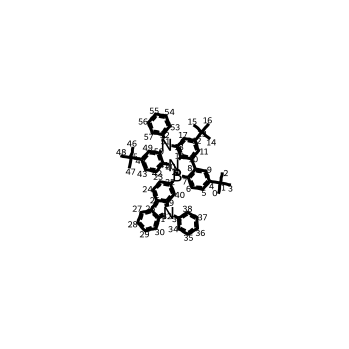 CC(C)(C)c1ccc2c(c1)-c1cc(C(C)(C)C)cc3c1N(B2c1ccc2c4ccccc4n(-c4ccccc4)c2c1)c1ccc(C(C)(C)C)cc1N3c1ccccc1